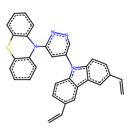 C=Cc1ccc2c(c1)c1cc(C=C)ccc1n2-c1cnnc(N2c3ccccc3Sc3ccccc32)c1